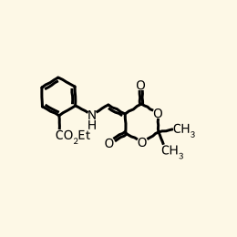 CCOC(=O)c1ccccc1NC=C1C(=O)OC(C)(C)OC1=O